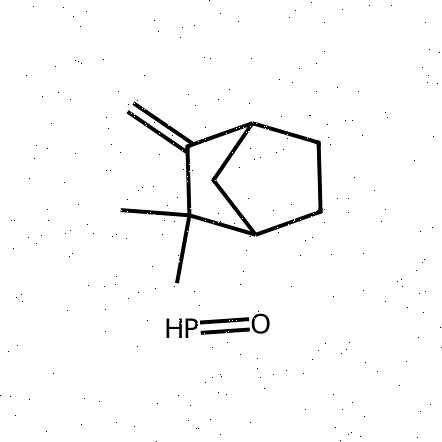 C=C1C2CCC(C2)C1(C)C.O=P